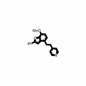 COc1ccc(CCc2ccncc2)c2cc(C(C)C)oc12